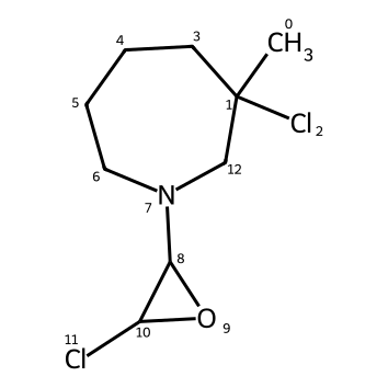 CC1(Cl)CCCCN(C2OC2Cl)C1